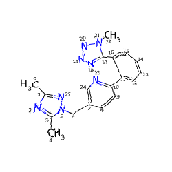 Cc1nc(C)n(Cc2ccc(-c3ccccc3-c3nnnn3C)nc2)n1